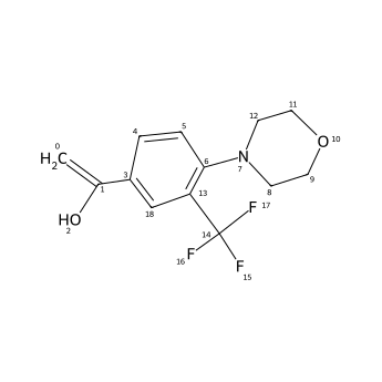 C=C(O)c1ccc(N2CCOCC2)c(C(F)(F)F)c1